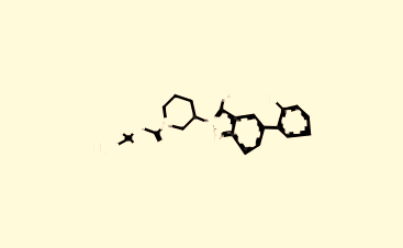 CC(C)(C)OC(=O)N1CCCC(n2nc3ccc(-c4ccccc4F)cc3c2Br)C1